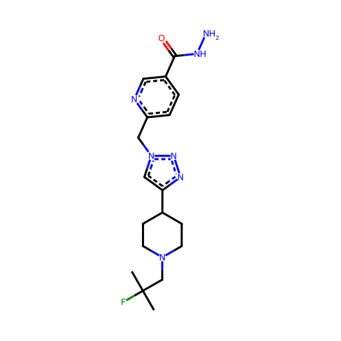 CC(C)(F)CN1CCC(c2cn(Cc3ccc(C(=O)NN)cn3)nn2)CC1